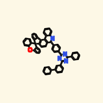 c1ccc(-c2cccc(-c3nc(-c4ccccc4)nc(-c4ccc(-c5nc6ccccc6c6c7c(ccc56)C5(c6ccccc6Oc6ccccc65)c5ccccc5-7)cc4)n3)c2)cc1